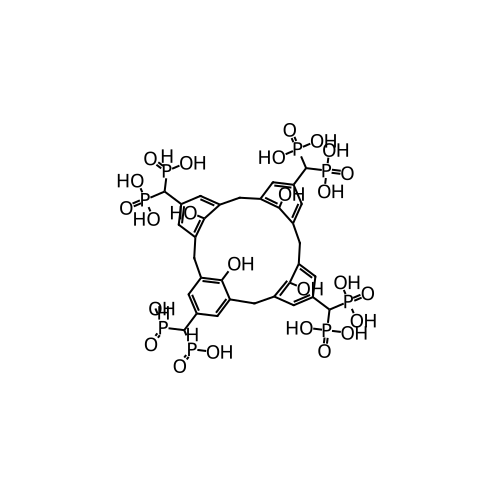 O=[PH](O)C(c1cc2c(O)c(c1)Cc1cc(C(P(=O)(O)O)P(=O)(O)O)cc(c1O)Cc1cc(C(P(=O)(O)O)P(=O)(O)O)cc(c1O)Cc1cc(C([PH](=O)O)P(=O)(O)O)cc(c1O)C2)[PH](=O)O